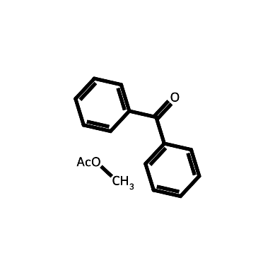 COC(C)=O.O=C(c1ccccc1)c1ccccc1